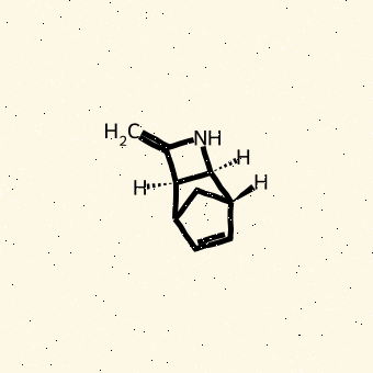 C=C1N[C@H]2[C@@H]3C=CC(C3)[C@@H]12